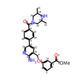 COC(=O)c1cccc(OCc2cc(-c3ccc(C(=O)N4CC(C)NC(C)C4)cc3)cnc2N)c1